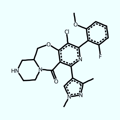 COc1cccc(F)c1-c1nc(-c2cn(C)nc2C)c2c(c1Cl)OCC1CNCCN1C2=O